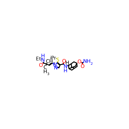 CCNC(=O)C(C)(C)/C=C/n1ncc(C(=O)N[C@H]2C3CC4CC2C[C@](OC(N)=O)(C4)C3)c1SC(C)C